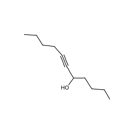 CCCCC#CC(O)CCCC